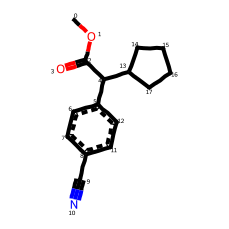 COC(=O)C(c1ccc(C#N)cc1)C1CCCC1